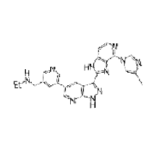 CCNCc1cncc(-c2cnc3[nH]nc(-c4nc5c(-n6cnc(C)c6)nccc5[nH]4)c3c2)c1